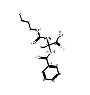 CCCCOC(=O)NC(C)(NC(=O)c1ccccc1)C(=O)O